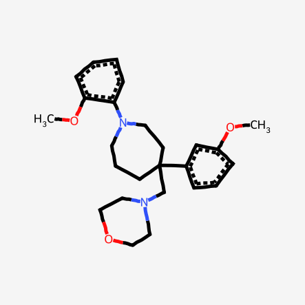 COc1cccc(C2(CN3CCOCC3)CCCN(c3ccccc3OC)CC2)c1